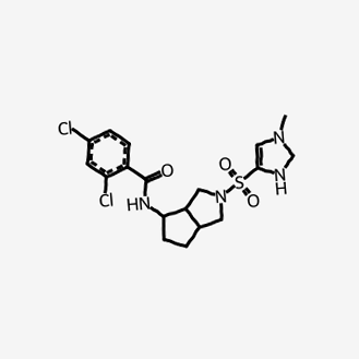 CN1C=C(S(=O)(=O)N2CC3CCC(NC(=O)c4ccc(Cl)cc4Cl)C3C2)NC1